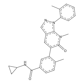 Cc1ccc(C(=O)NC2CC2)cc1-c1cc2cnn(-c3ccccc3C)c2n(C)c1=O